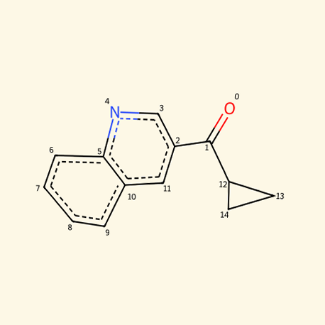 O=C(c1cnc2ccccc2c1)C1CC1